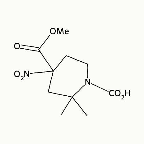 COC(=O)C1([N+](=O)[O-])CCN(C(=O)O)C(C)(C)C1